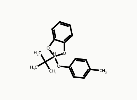 Cc1ccc(O[PH]2(C(C)(C)C)Oc3ccccc3O2)cc1